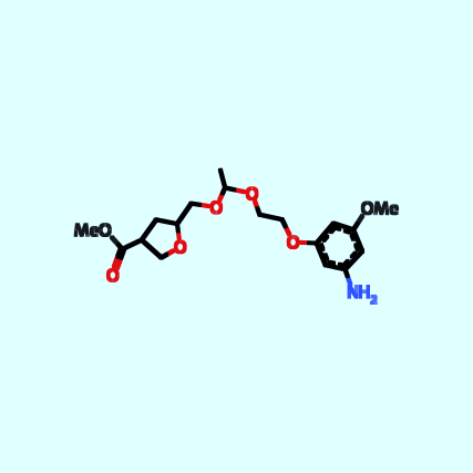 COC(=O)C1COC(COC(C)OCCOc2cc(N)cc(OC)c2)C1